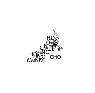 C/C=C/C[C@@H](C)[C@@H](O)[C@@H](C(=O)N[C@@H](CC)C(=O)N(C)[C@H](COCCC=O)C(=O)N(C)[C@@H](CC(C)(C)O)C(=O)NC(=O)NC)N(C)C(=O)CC(C)C